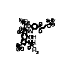 CC(=O)Nc1cc(S(=O)(=O)[O-])cc2cc(S(=O)(=O)[O-])c(N=Nc3cc(S(=O)(=O)CCOS(=O)(=O)[O-])ccc3O)c(O)c12.[Na+].[Na+].[Na+]